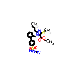 CCCCc1nc(SC)c(C(=O)OCC)n1Cc1ccccc1-c1ccc(S(=O)(=O)NC#N)cc1